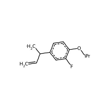 [CH2]C(C=C)c1ccc(OC(C)C)c(F)c1